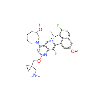 CCc1c(F)ccc2cc(O)cc(-c3ncc4c(N5CCCCC(OC)C5)nc(OCC5(CN(C)C)CC5)nc4c3F)c12